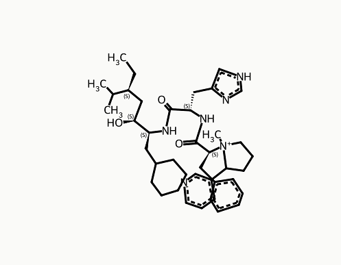 CC[C@@H](C[C@H](O)[C@H](CC1CCCCC1)NC(=O)[C@H](Cc1c[nH]cn1)NC(=O)[C@H](Cc1ccccc1)[N+]1(C)CCCC1c1cccnc1)C(C)C